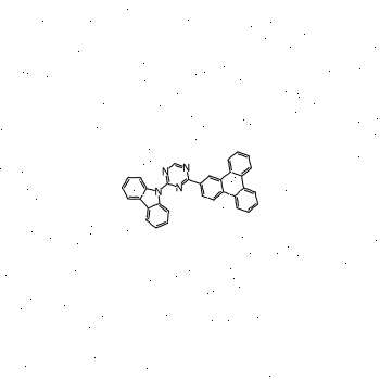 c1ccc2c(c1)c1ccccc1c1cc(-c3ncnc(-n4c5ccccc5c5ccccc54)n3)ccc21